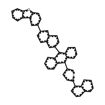 c1ccc2c(-c3ccc(-c4c5ccccc5c(-c5ccc6cc(-c7ccc8oc9ccccc9c8c7)ccc6c5)c5ccccc45)cc3)cccc2c1